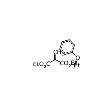 C=C(C(=O)OCC)C(=O)OCC.CCOc1ccccc1